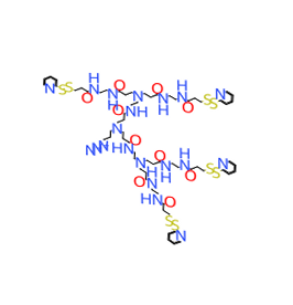 [N-]=[N+]=NCCCN(CCC(=O)NCCN(CCC(=O)NCCNC(=O)CCSSc1ccccn1)CCC(=O)NCCNC(=O)CCSSc1ccccn1)CCC(=O)NCCN(CCC(=O)NCCNC(=O)CCSSc1ccccn1)CCC(=O)NCCNC(=O)CCSSc1ccccn1